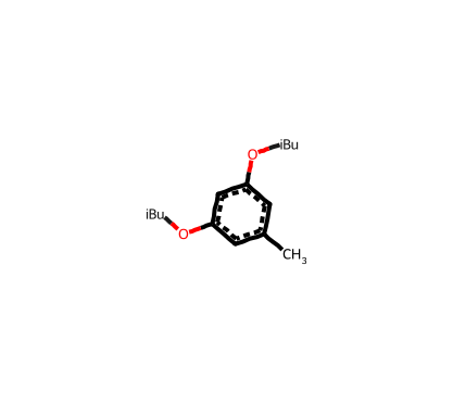 CCC(C)Oc1cc(C)cc(OC(C)CC)c1